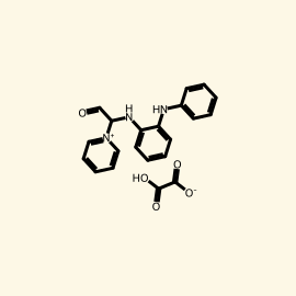 O=C([O-])C(=O)O.O=CC(Nc1ccccc1Nc1ccccc1)[n+]1ccccc1